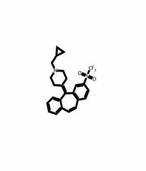 O=S(=O)(c1ccc2c(c1)C(=C1CCN(CC3CC3)CC1)c1ccccc1C=C2)C(F)(F)F